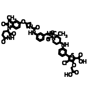 Cn1c(=O)n(C2CCC(=O)NC2=O)c2ccc(OC3CN(C(=O)Nc4cccc(CS(=O)(=O)N5CCC(Nc6cccc(-c7sc(C(=O)O)c(OCC(=O)O)c7Cl)c6)CC5(C)C)c4)C3)cc21